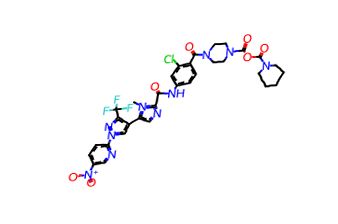 Cn1c(-c2cn(-c3ccc([N+](=O)[O-])cn3)nc2C(F)(F)F)cnc1C(=O)Nc1ccc(C(=O)N2CCN(C(=O)OC(=O)N3CCCCC3)CC2)c(Cl)c1